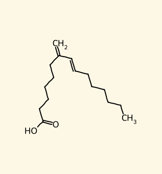 C=C(C=CCCCCCC)CCCCCC(=O)O